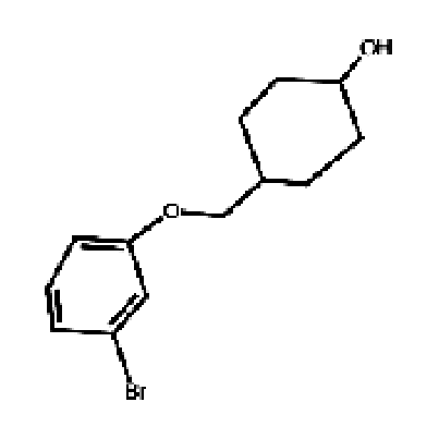 OC1CCC(COc2cccc(Br)c2)CC1